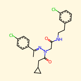 C/C(=N\N(CC(=O)NCCc1cccc(Cl)c1)C(=O)CC1CC1)c1ccc(Cl)cc1